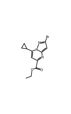 CCOC(=O)c1cc(C2CC2)n2nc(Br)cc2n1